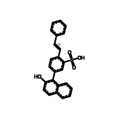 O=S(=O)(O)c1cc(-c2c(O)ccc3ccccc23)ccc1/C=C/c1ccccc1